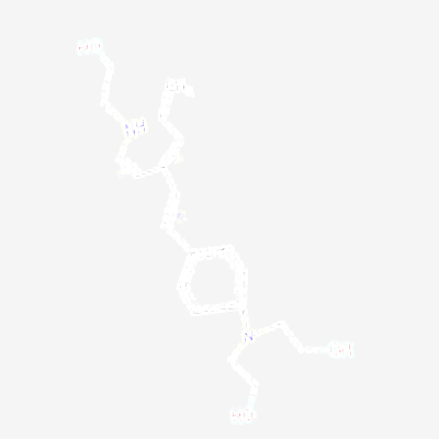 C=C/C=C(\C=C/NCCO)/C=C/c1ccc(N(CCO)CCO)cc1